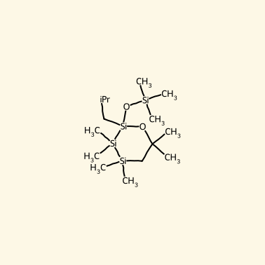 CC(C)C[Si]1(O[Si](C)(C)C)OC(C)(C)C[Si](C)(C)[Si]1(C)C